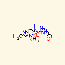 Cc1cc2n(n1)CC[C@H](NC(=O)c1ncn(CC3CCOC3)n1)C(=O)N2C